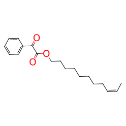 C/C=C\CCCCCCCCOC(=O)C(=O)c1ccccc1